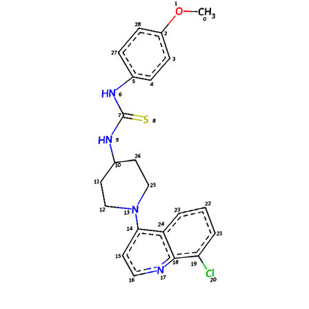 COc1ccc(NC(=S)NC2CCN(c3ccnc4c(Cl)cccc34)CC2)cc1